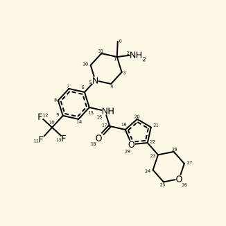 CC1(N)CCN(c2ccc(C(F)(F)F)cc2NC(=O)c2ccc(C3CCOCC3)o2)CC1